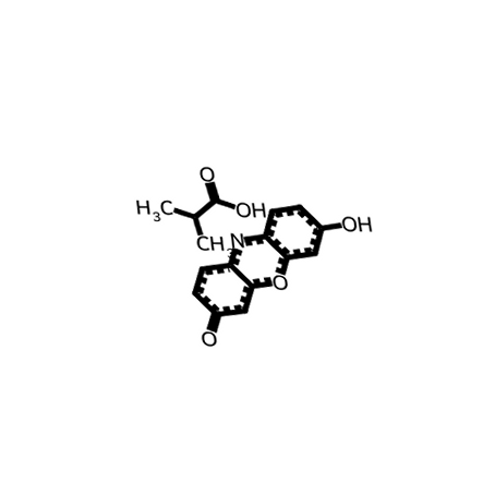 CC(C)C(=O)O.O=c1ccc2nc3ccc(O)cc3oc-2c1